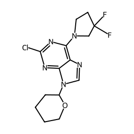 FC1(F)CCN(c2nc(Cl)nc3c2ncn3C2CCCCO2)C1